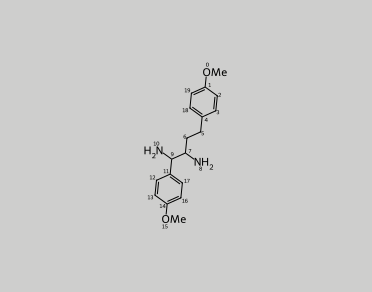 COc1ccc(CCC(N)C(N)c2ccc(OC)cc2)cc1